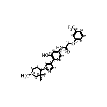 CN1CCC(n2cc(-c3ncc(NC(=O)COc4cccc(C(F)(F)F)c4)cc3C#N)cn2)C(F)(F)C1